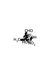 CC#CC[C@]12OC[C@@](O)(CCC=O)[C@H]1OC[C@@H]2O.O=[N+]([O-])OCCO